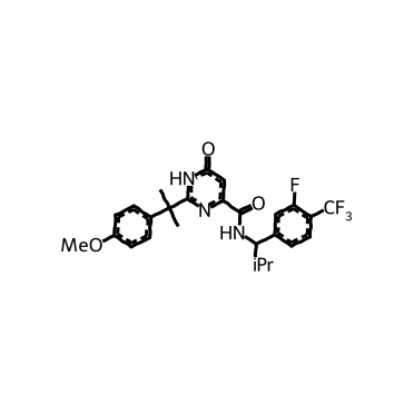 COc1ccc(C(C)(C)c2nc(C(=O)NC(c3ccc(C(F)(F)F)c(F)c3)C(C)C)cc(=O)[nH]2)cc1